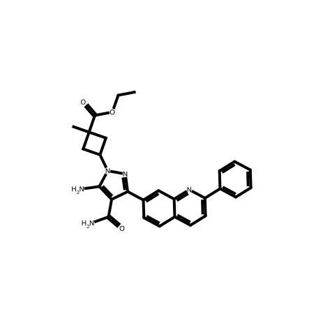 CCOC(=O)C1(C)CC(n2nc(-c3ccc4ccc(-c5ccccc5)nc4c3)c(C(N)=O)c2N)C1